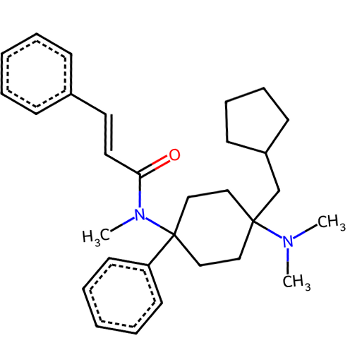 CN(C)C1(CC2CCCC2)CCC(c2ccccc2)(N(C)C(=O)C=Cc2ccccc2)CC1